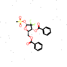 CS(=O)(=O)O[C@H]1O[C@H](COC(=O)c2ccccc2)[C@@H](OC(=O)c2ccccc2)C1(F)F